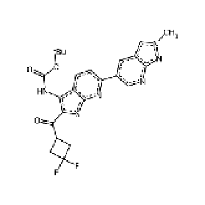 Cn1cc2cc(-c3ccc4c(NC(=O)OC(C)(C)C)c(C(=O)C5CC(F)(F)C5)sc4n3)cnc2n1